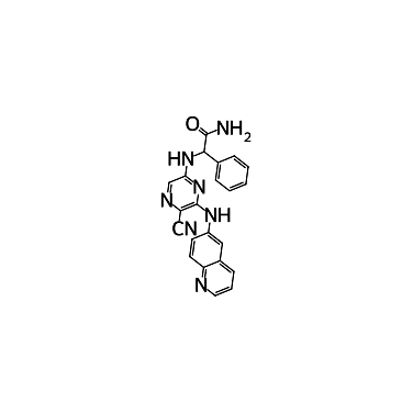 N#Cc1ncc(NC(C(N)=O)c2ccccc2)nc1Nc1ccc2ncccc2c1